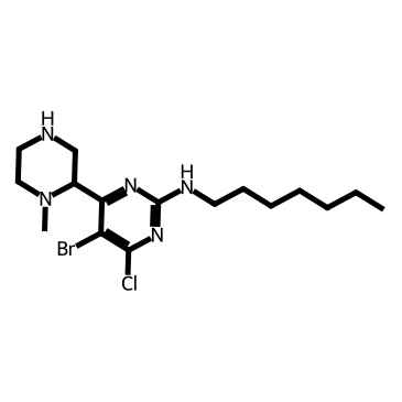 CCCCCCCNc1nc(Cl)c(Br)c(C2CNCCN2C)n1